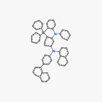 c1ccc(N2c3ccccc3[Si](c3ccccc3)(c3ccccc3)c3ccc(N(c4ccc(-c5cccc6ccccc56)cc4)c4cccc5ccccc45)cc32)cc1